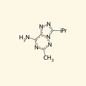 Cc1nc(N)c2nnc(C(C)C)n2n1